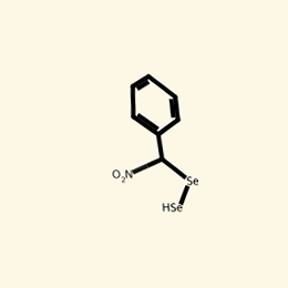 O=[N+]([O-])C([Se][SeH])c1ccccc1